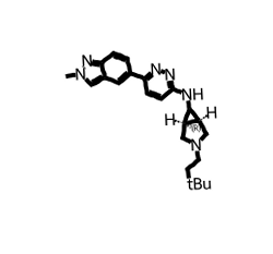 Cn1cc2cc(-c3ccc(NC4[C@H]5CN(CCC(C)(C)C)C[C@@H]45)nn3)ccc2n1